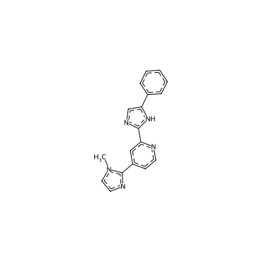 Cn1ccnc1-c1ccnc(-c2ncc(-c3ccccc3)[nH]2)c1